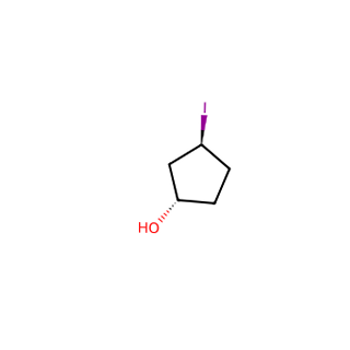 O[C@H]1CC[C@H](I)C1